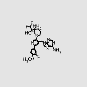 COc1ccc(-c2cc(Cn3cnc4c(N)ncnc43)c(N3CCC[C@](N)([C@H](O)C(F)F)C3)cn2)cc1F